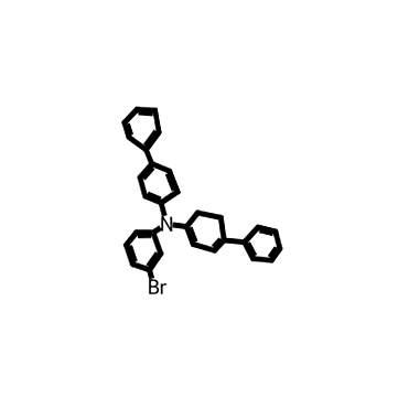 Brc1cccc(N(C2=CC=C(c3ccccc3)CC2)c2ccc(-c3ccccc3)cc2)c1